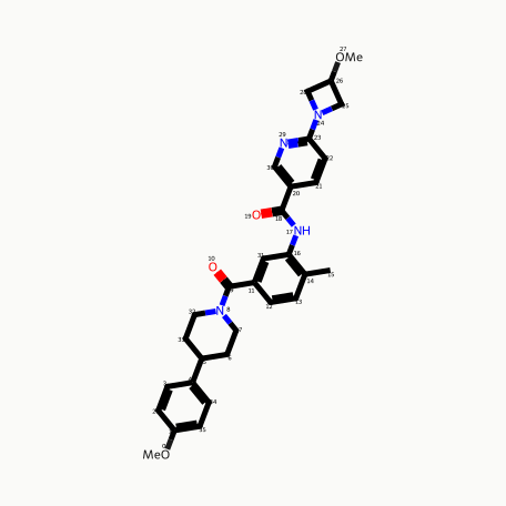 COc1ccc(C2CCN(C(=O)c3ccc(C)c(NC(=O)c4ccc(N5CC(OC)C5)nc4)c3)CC2)cc1